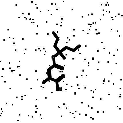 CCCC(C)(CCC)OC(=O)C=C(C)C(=O)O